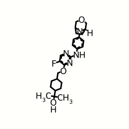 CC(C)(O)C1CCC(COc2nc(Nc3ccc(N4C5CC[C@H]4COC5)cc3)ncc2F)CC1